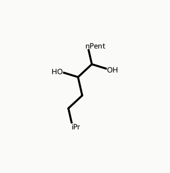 CCCCCC(O)C(O)CCC(C)C